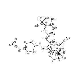 N#Cc1cccc([C@]23CC[C@@H](N(CCC4CCN(CC5CC5)CC4)C(=O)Nc4ccc(F)c(C(F)(F)F)c4)C[C@H]2C3)c1